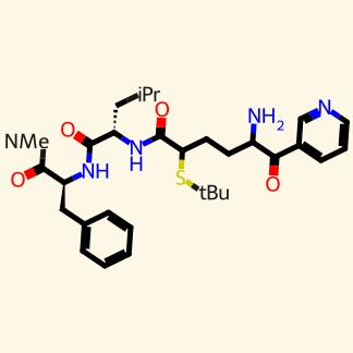 CNC(=O)[C@H](Cc1ccccc1)NC(=O)[C@H](CC(C)C)NC(=O)C(CCC(N)C(=O)c1cccnc1)SC(C)(C)C